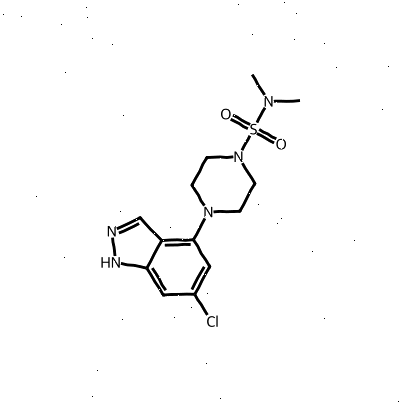 CN(C)S(=O)(=O)N1CCN(c2cc(Cl)cc3[nH]ncc23)CC1